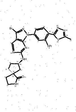 CCCc1cc(-n2nc(Br)c3cnc(N[C@@H]4CC[C@]5(CCNC5=O)C4)nc32)ccc1-c1nnc(C)s1